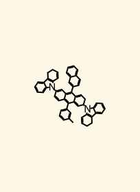 Cc1cccc(-c2c3c(c(-c4ccc5ccccc5c4)c4cc(-n5c6c(c7ccccc75)CCC=C6)ccc24)=CCC(n2c4c(c5ccccc52)CCC=C4)C=3)c1